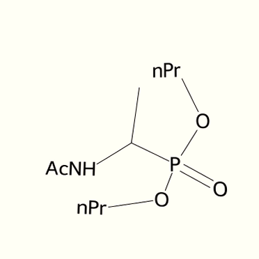 CCCOP(=O)(OCCC)C(C)NC(C)=O